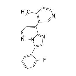 Cc1ccncc1-c1ccnn2c(-c3ccccc3F)cnc12